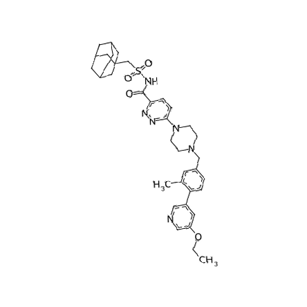 CCOc1cncc(-c2ccc(CN3CCN(c4ccc(C(=O)NS(=O)(=O)CC56CC7CC(CC(C7)C5)C6)nn4)CC3)cc2C)c1